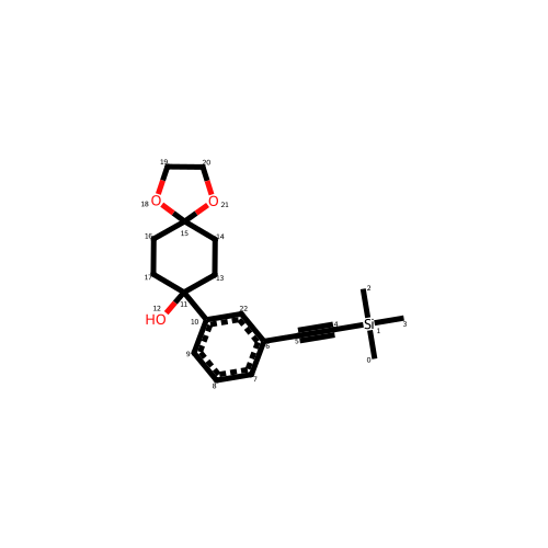 C[Si](C)(C)C#Cc1cccc(C2(O)CCC3(CC2)OCCO3)c1